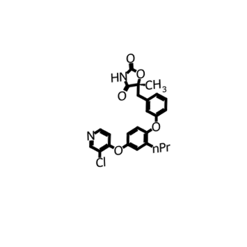 CCCc1cc(Oc2ccncc2Cl)ccc1Oc1cccc(C[C@@]2(C)OC(=O)NC2=O)c1